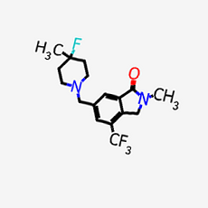 CN1Cc2c(cc(CN3CCC(C)(F)CC3)cc2C(F)(F)F)C1=O